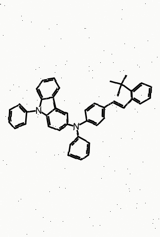 CC(C)(C)c1ccccc1C=Cc1ccc(N(c2ccccc2)c2ccc3c(c2)c2ccccc2n3-c2ccccc2)cc1